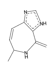 C=C1NC(C)C=Cc2nc[nH]c21